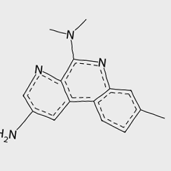 Cc1ccc2c(c1)nc(N(C)C)c1ncc(N)cc12